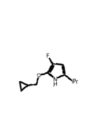 CC(C)c1cc(F)c(OCC2CC2)[nH]1